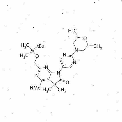 CNc1nc(CO[Si](C)(C)C(C)(C)C)nc2c1C(C)(C)C(=O)N2c1cnc(N2C[C@@H](C)O[C@@H](C)C2)nc1